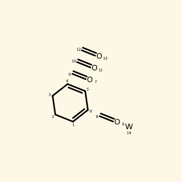 C1=CCCC=C1.C=O.C=O.C=O.C=O.[W]